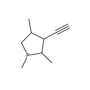 C#CC1C(C)CP(C)C1C